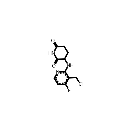 O=C1CCC(Nc2nccc(F)c2CCl)C(=O)N1